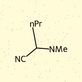 CCCC(C#N)NC